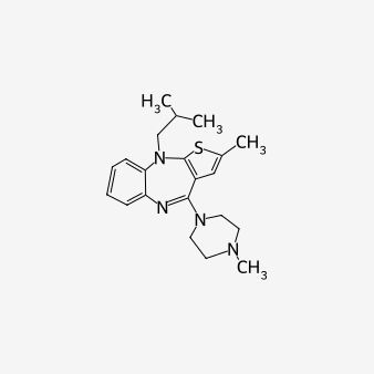 Cc1cc2c(s1)N(CC(C)C)c1ccccc1N=C2N1CCN(C)CC1